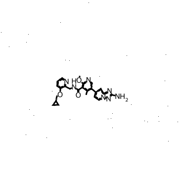 COc1ncc(-c2ccn3nc(N)nc3c2)c(C)c1C(=O)NCc1ncccc1OCC1CC1